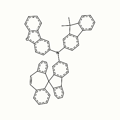 CC1(C)c2ccccc2-c2ccc(N(c3ccc4c(c3)C3(c5ccccc5C=Cc5ccccc53)c3ccccc3-4)c3ccc4oc5ccccc5c4c3)cc21